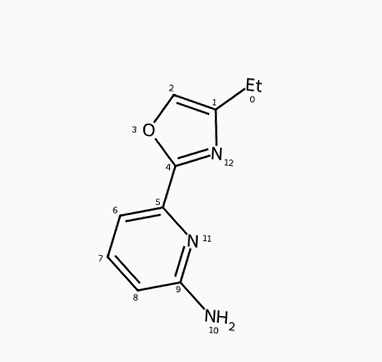 CCc1coc(-c2cccc(N)n2)n1